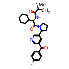 CNC(C)C(=O)N[C@H](C(=O)N1CCCC1c1cncc(C(=O)c2ccc(F)cc2)c1)C1CCCCC1